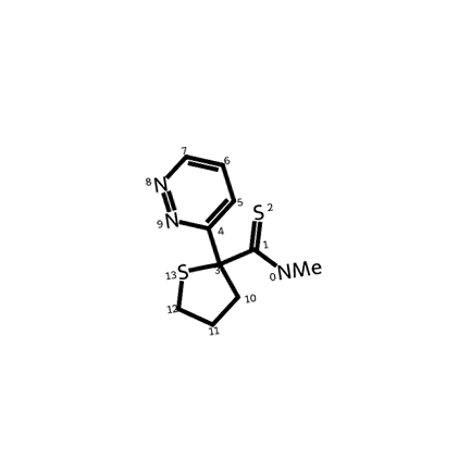 CNC(=S)C1(c2cccnn2)CCCS1